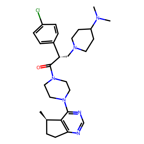 C[C@@H]1CCc2ncnc(N3CCN(C(=O)[C@@H](CN4CCC(N(C)C)CC4)c4ccc(Cl)cc4)CC3)c21